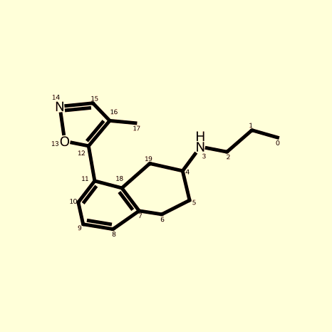 CCCNC1CCc2cccc(-c3oncc3C)c2C1